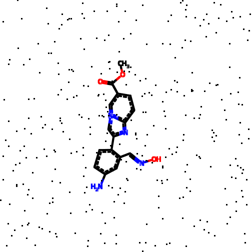 COC(=O)c1ccc2nc(-c3ccc(N)cc3C=NO)cn2c1